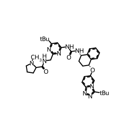 CN1CCCC1C(=O)NCc1nc(NC(=O)N[C@H]2CC[C@@H](Oc3ccc4nnc(C(C)(C)C)n4c3)c3ccccc32)cc(C(C)(C)C)n1